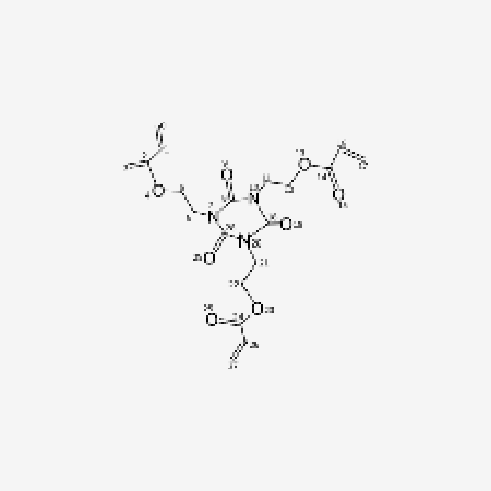 C=CC(=C)OCCn1c(=O)n(CCOC(=O)C=C)c(=O)n(CCOC(=O)C=C)c1=O